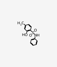 Cc1ccc(S(=O)(=O)Nc2ccccc2)c(O)c1